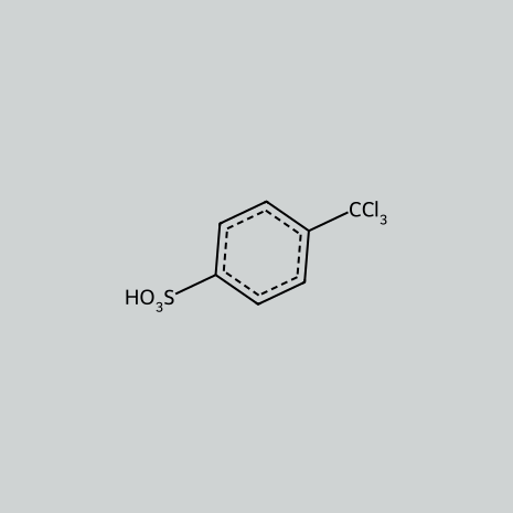 O=S(=O)(O)c1ccc(C(Cl)(Cl)Cl)cc1